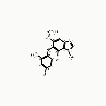 CC(=O)n1cnc2cc(OC(=O)O)c(Nc3ccc(I)cc3C)c(F)c21